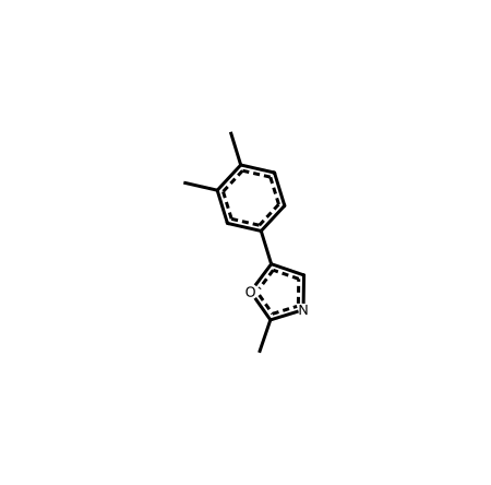 Cc1ncc(-c2ccc(C)c(C)c2)o1